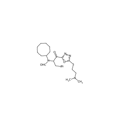 CC(C)CC(C(=O)c1nnc(SCCN(C)C)o1)N(C=O)C1CCCCCCC1